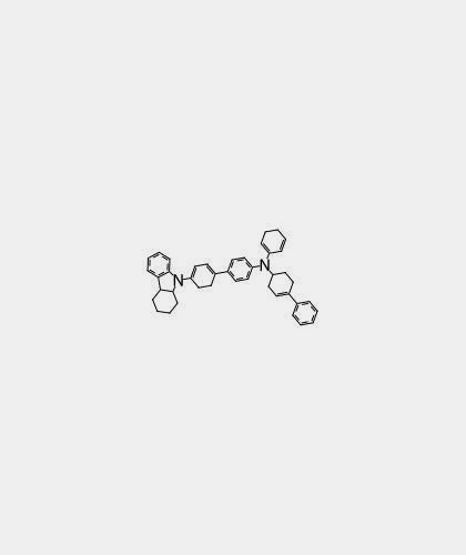 C1=CC(N(c2ccc(C3=CC=C(N4c5ccccc5C5CCCCC54)CC3)cc2)C2CC=C(c3ccccc3)CC2)=CCC1